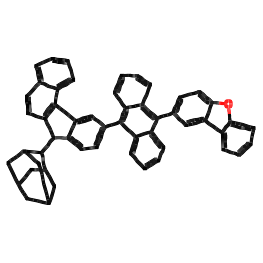 c1ccc2c3c(ccc2c1)C(C1C2CC4CC(C2)CC1C4)c1ccc(-c2c4ccccc4c(-c4ccc5oc6ccccc6c5c4)c4ccccc24)cc1-3